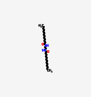 CCCCCCCCCCCCC(=O)NCCNC(=O)CCCCCCCCCCCC